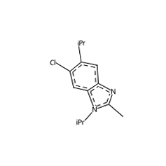 Cc1nc2cc(C(C)C)c(Cl)cc2n1C(C)C